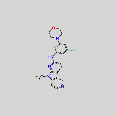 Cn1c2ccncc2c2ccc(Nc3cc(F)cc(N4CCOCC4)c3)nc21